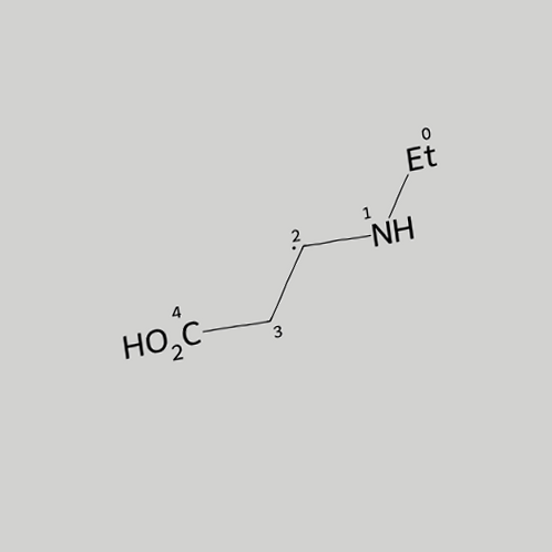 CCN[CH]CC(=O)O